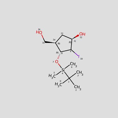 CC(C)(C)[Si](C)(C)O[C@H]1C(I)[C@H](O)C[C@@H]1CO